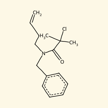 C=CCCN(Cc1ccccc1)C(=O)C(C)(C)Cl